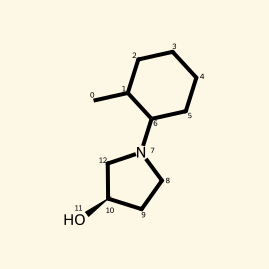 CC1CCCCC1N1CC[C@@H](O)C1